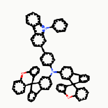 c1ccc(-n2c3ccccc3c3ccc(-c4ccc(N(c5ccc6c(c5)C5(c7ccccc7Oc7ccccc75)c5ccccc5-6)c5ccc6c(c5)C5(c7ccccc7Oc7ccccc75)c5ccccc5-6)cc4)cc32)cc1